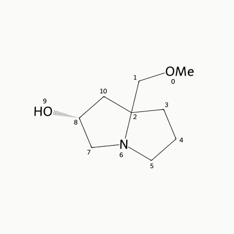 COCC12CCCN1C[C@H](O)C2